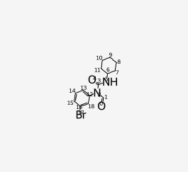 O=CN(C(=O)NC1CCCCC1)c1cccc(Br)c1